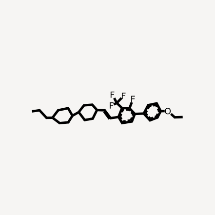 CCCC1CCC(C2CCC(/C=C/c3ccc(-c4ccc(OCC)cc4)c(F)c3C(F)(F)F)CC2)CC1